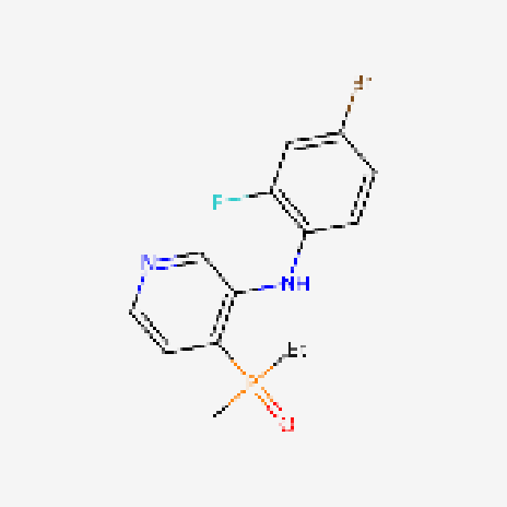 CCP(C)(=O)c1ccncc1Nc1ccc(Br)cc1F